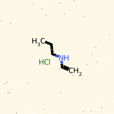 C=CNCCC.Cl